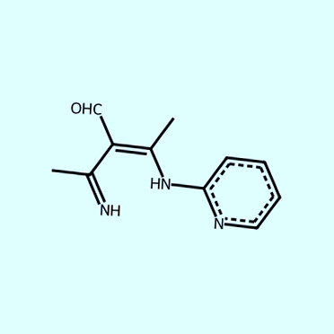 CC(=N)/C(C=O)=C(/C)Nc1ccccn1